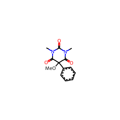 COC1(c2ccccc2)C(=O)N(C)C(=O)N(C)C1=O